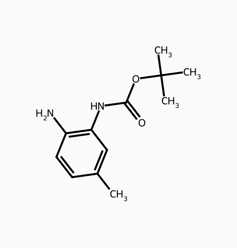 Cc1ccc(N)c(NC(=O)OC(C)(C)C)c1